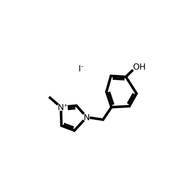 C[n+]1ccn(Cc2ccc(O)cc2)c1.[I-]